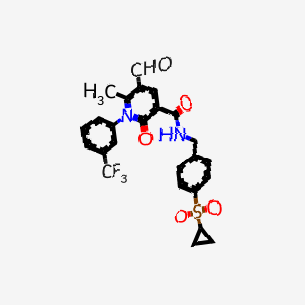 Cc1c(C=O)cc(C(=O)NCc2ccc(S(=O)(=O)C3CC3)cc2)c(=O)n1-c1cccc(C(F)(F)F)c1